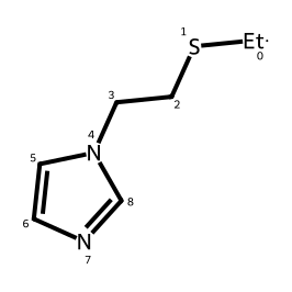 C[CH]SCCn1ccnc1